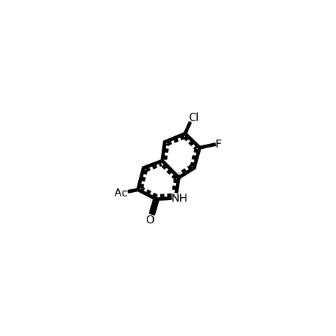 CC(=O)c1cc2cc(Cl)c(F)cc2[nH]c1=O